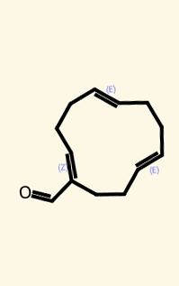 O=C/C1=C\CC/C=C/CC/C=C/CC1